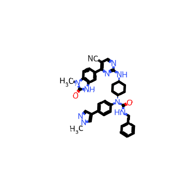 Cn1cc(-c2ccc(N(C(=O)NCc3ccccc3)[C@H]3CC[C@H](Nc4ncc(C#N)c(-c5ccc6c(c5)[nH]c(=O)n6C)n4)CC3)cc2)cn1